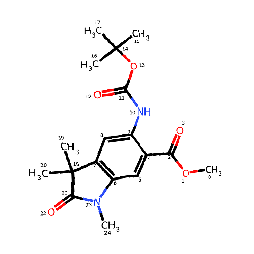 COC(=O)c1cc2c(cc1NC(=O)OC(C)(C)C)C(C)(C)C(=O)N2C